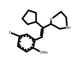 COc1ccc(F)cc1/C=C(\C1CCCC1)C1CNCCO1